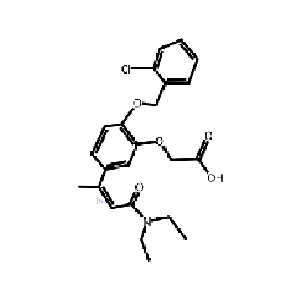 CCN(CC)C(=O)/C=C(/C)c1ccc(OCc2ccccc2Cl)c(OCC(=O)O)c1